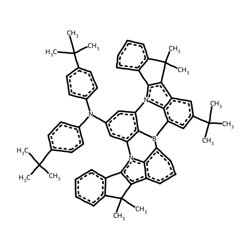 CC(C)(C)c1ccc(N(c2ccc(C(C)(C)C)cc2)c2cc3c4c(c2)-n2c5c(c6cc(C(C)(C)C)cc(c62)B4c2cccc4c6c(n-3c24)-c2ccccc2C6(C)C)C(C)(C)c2ccccc2-5)cc1